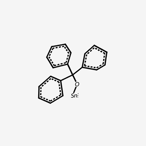 [Sn][O]C(c1ccccc1)(c1ccccc1)c1ccccc1